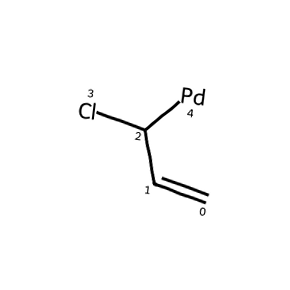 C=C[CH](Cl)[Pd]